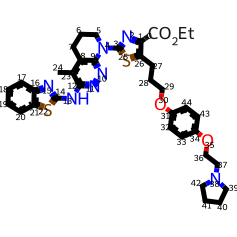 CCOC(=O)c1nc(N2CCCc3c2nnc(Nc2nc4ccccc4s2)c3C)sc1CCCOc1ccc(OCCN2CCCC2)cc1